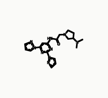 CN(C)C1CCN(CC(=O)Nc2cc(-n3cccn3)nc(-n3cccn3)n2)C1